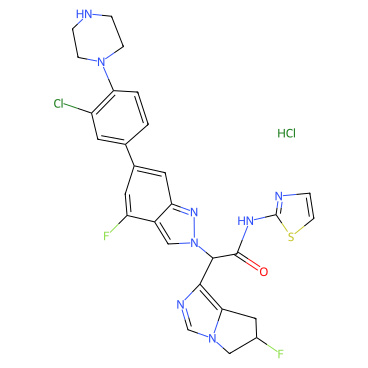 Cl.O=C(Nc1nccs1)C(c1ncn2c1CC(F)C2)n1cc2c(F)cc(-c3ccc(N4CCNCC4)c(Cl)c3)cc2n1